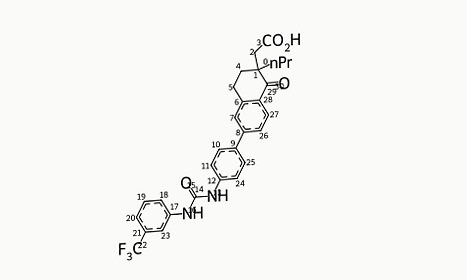 CCCC1(CC(=O)O)CCc2cc(-c3ccc(NC(=O)Nc4cccc(C(F)(F)F)c4)cc3)ccc2C1=O